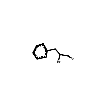 BrCC(Br)Cc1[c]cccc1